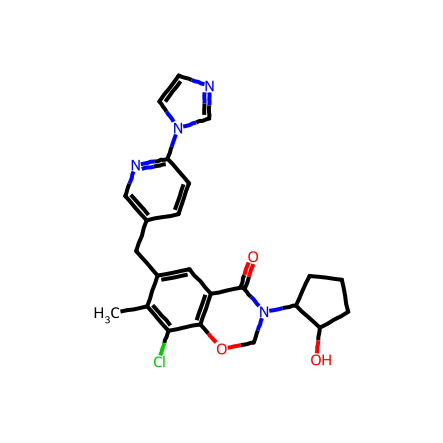 Cc1c(Cc2ccc(-n3ccnc3)nc2)cc2c(c1Cl)OCN(C1CCCC1O)C2=O